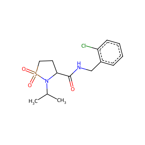 CC(C)N1C(C(=O)NCc2ccccc2Cl)CCS1(=O)=O